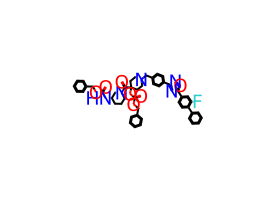 O=C(NC1CCCN(C(=O)C2(OC(=O)OCc3ccccc3)CCN(Cc3ccc(-c4noc(-c5ccc(-c6ccccc6)c(F)c5)n4)cc3)CC2)C1)OCc1ccccc1